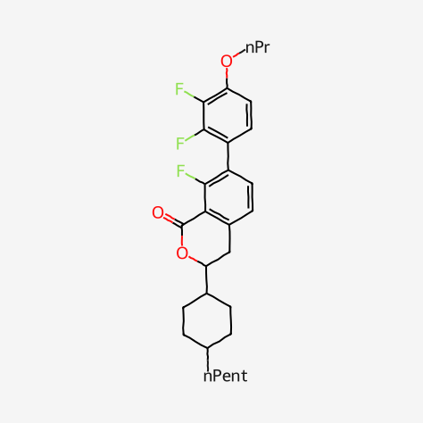 CCCCCC1CCC(C2Cc3ccc(-c4ccc(OCCC)c(F)c4F)c(F)c3C(=O)O2)CC1